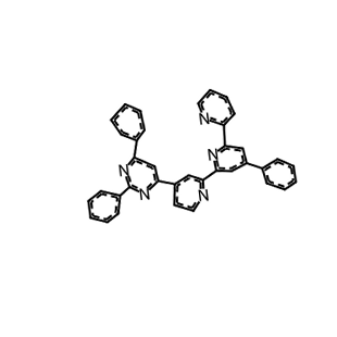 c1ccc(-c2cc(-c3ccccn3)nc(-c3cc(-c4cc(-c5ccccc5)nc(-c5ccccc5)n4)ccn3)c2)cc1